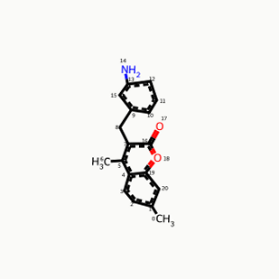 Cc1ccc2c(C)c(Cc3cccc(N)c3)c(=O)oc2c1